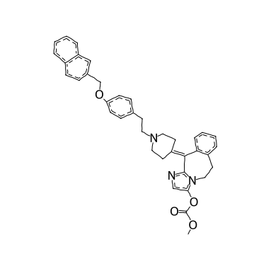 COC(=O)Oc1cnc2n1CCc1ccccc1C2=C1CCN(CCc2ccc(OCc3ccc4ccccc4c3)cc2)CC1